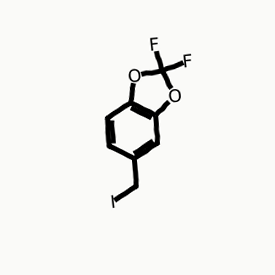 FC1(F)Oc2ccc(CI)cc2O1